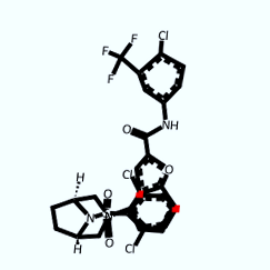 O=C(Nc1ccc(Cl)c(C(F)(F)F)c1)c1cc2c(N3C[C@H]4CC[C@@H](C3)N4S(=O)(=O)c3c(Cl)cccc3Cl)cccc2o1